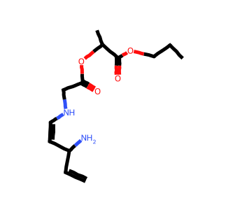 C=CC(N)/C=C\NCC(=O)OC(C)C(=O)OCCC